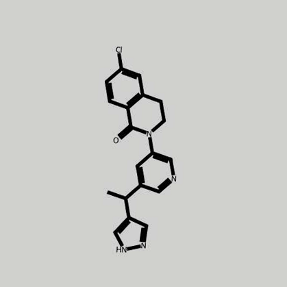 CC(c1cn[nH]c1)c1cncc(N2CCc3cc(Cl)ccc3C2=O)c1